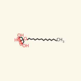 CCCCCCCCCCCCCCCCOC(CC(=O)O)(CC(=O)O)C(=O)O